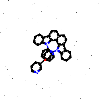 c1ccc(-n2c3ccccc3c3ccc4ccc5c6ccccc6n(-c6cc(-c7cccnc7)ccn6)c5c4c32)cc1